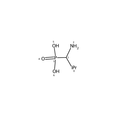 CC(C)C(N)P(=O)(O)O